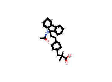 CC(=O)NC1(CCc2ccc(CC(C)(C)C(=O)O)cc2)c2ccccc2-c2ccccc21